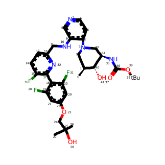 C[C@H]1CN(c2ccncc2NCc2ccc(F)c(-c3c(F)cc(OCC(C)(C)O)cc3F)n2)C[C@@H](NC(=O)OC(C)(C)C)[C@@H]1O